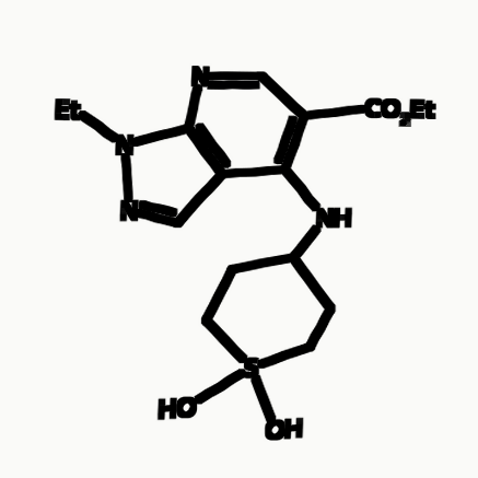 CCOC(=O)c1cnc2c(cnn2CC)c1NC1CCS(O)(O)CC1